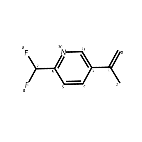 C=C(C)c1ccc(C(F)F)nc1